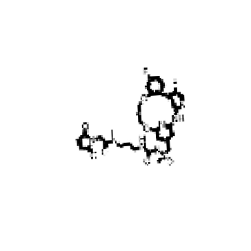 CS(=O)(Cc1cc2nc(c1)OCCCOc1cc(F)ccc1-c1cc(ncc1F)N2)=NC(=O)NCCCNC(=O)CN1C(=O)C=CC1=O